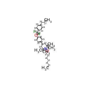 CCCCCCCON1C(C)(C)CC(c2ccc(OC(F)(F)c3ccc(CCC)cc3)cc2)CC1(C)C